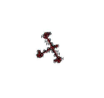 CC(=O)NC1C(OCCCCC(=O)NCCCNC(=O)CCOCC(COCCC(=O)NCCCNC(=O)CCCCOC2OC(COC(C)=O)C(OC(C)=O)C(OC(C)=O)C2NC(C)=O)(COCCC(=O)NCCCNC(=O)CCCCOC2OC(COC(C)=O)C(OC(C)=O)C(OC(C)=O)C2NC(C)=O)NC(=O)OCc2ccccc2)OC(COC(C)=O)C(OC(C)=O)C1OC(C)=O